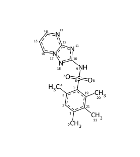 Cc1cc(C)c(S(=O)(=O)Nc2nc3ncccn3n2)c(C)c1C